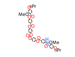 CCCOc1ccc(C(=O)Nc2ccc(C(=O)Oc3ccc(OC(=O)Oc4ccc(OC(=O)c5ccc(OC(=O)c6ccc(OCCC)cc6OC)cc5)cc4)cc3)cc2)c(OC)c1